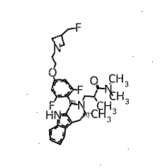 CC(CN1[C@H](c2c(F)cc(OCCN3CC(CF)C3)cc2F)c2[nH]c3ccccc3c2C[C@H]1C)C(=O)N(C)C